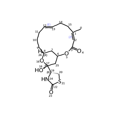 C/C1=C/C(=O)OC2C[C@@H](CCC/C=C/CC1)O[C@@](O)([C@@H]1CSC(=O)N1)C2